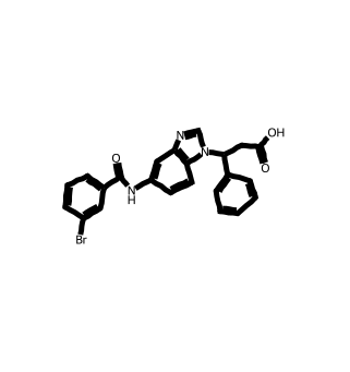 O=C(O)CC(c1ccccc1)n1cnc2cc(NC(=O)c3cccc(Br)c3)ccc21